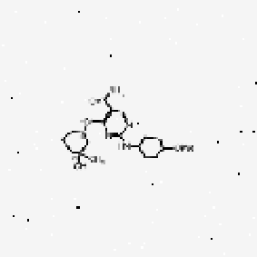 COC1CCC(Nc2ncc(C(N)=O)c(N[C@@H]3CCC[C@@](C)(O)C3)n2)CC1